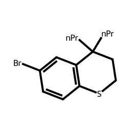 CCCC1(CCC)CCSc2ccc(Br)cc21